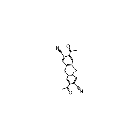 CC(=O)c1cc2c(cc1C#N)Sc1cc(C(C)=O)c(C#N)cc1S2